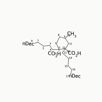 CCCCCCCCCCCCCCC1(C(=O)O)CCC(C)CC1(CCCCCCCCCCCCCC)C(=O)O